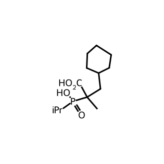 CC(C)P(=O)(O)C(C)(CC1CCCCC1)C(=O)O